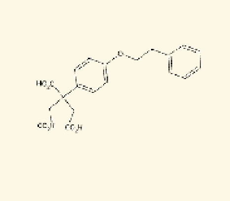 O=C(O)CC(CC(=O)O)(C(=O)O)c1ccc(OCCc2ccccc2)cc1